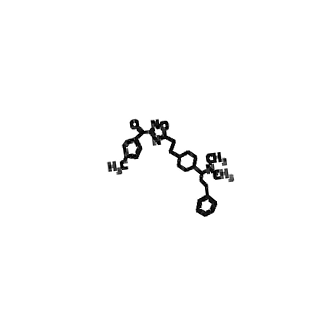 Cc1ccc(C(=O)c2noc(CCC3CCC(C(CCc4ccccc4)N(C)C)CC3)n2)cc1